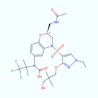 CCn1cc(S(=O)(=O)N2C[C@H](CNC(C)=O)Oc3ccc(N(C(=O)O)C(C)(C)C(F)(F)F)cc32)c(OCC(C)(C)CO)n1